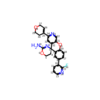 NC1=N[C@@]2(CCO1)c1cc(-c3cccnc3F)ccc1Oc1cnc(C3=CCOCC3)cc12